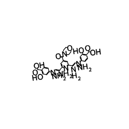 N/C(=C\N(N)c1ccc(C(=O)O)c(O)c1)c1cc(C(=O)N2CCOCC2)cc(/C(N)=C/N(N)c2ccc(C(=O)O)c(O)c2)n1